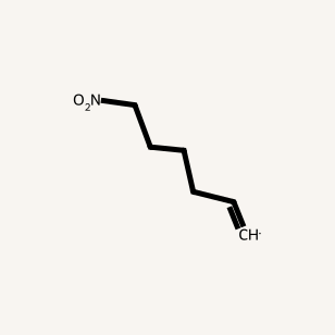 [CH]=CCCCC[N+](=O)[O-]